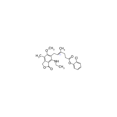 CCNc1c(C/C=C(\C)CCC(=O)Oc2ccccc2Cl)c(OC)c(C)c2c1C(=O)OC2